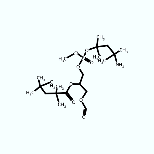 COP(=O)(OCC(COC=O)OC(=O)C(C)(C)CC(C)(C)C)OC(C)(C)CC(C)(C)N